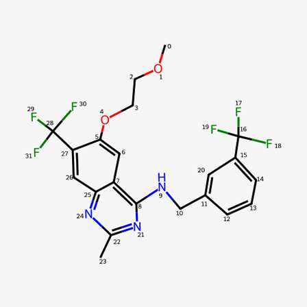 COCCOc1cc2c(NCc3cccc(C(F)(F)F)c3)nc(C)nc2cc1C(F)(F)F